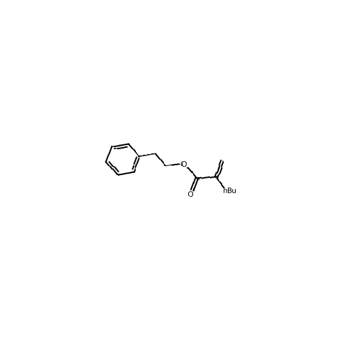 C=C(CCCC)C(=O)OCCc1ccccc1